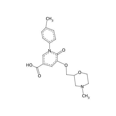 Cc1ccc(-n2cc(C(=O)O)cc(OCC3CN(C)CCO3)c2=O)cc1